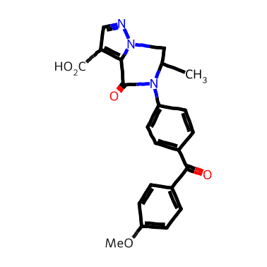 COc1ccc(C(=O)c2ccc(N3C(=O)c4c(C(=O)O)cnn4CC3C)cc2)cc1